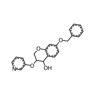 OC1c2ccc(OCc3ccccc3)cc2OCC1Oc1cccnc1